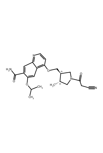 CC(C)Oc1cc2c(OC[C@H]3CN(C(=O)CC#N)C[C@@H]3C)ccnc2cc1C(N)=O